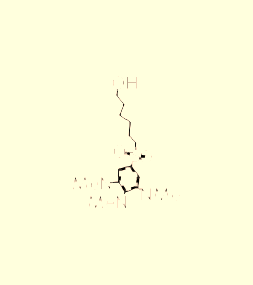 CNc1cc(S(=O)(=O)CCCCCCO)cc(NC)c1NC